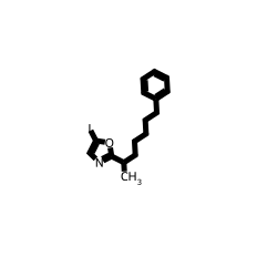 CC(CCCCCc1ccccc1)c1ncc(I)o1